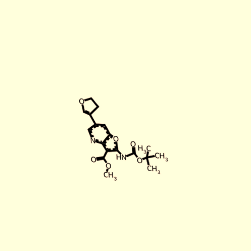 COC(=O)c1c(NC(=O)OC(C)(C)C)oc2cc(C3=COCC3)cnc12